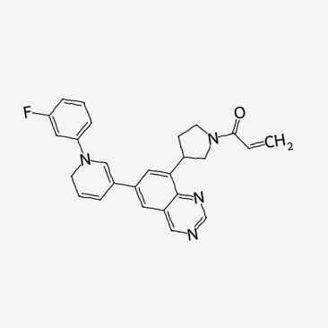 C=CC(=O)N1CCC(c2cc(C3=CN(c4cccc(F)c4)CC=C3)cc3cncnc23)C1